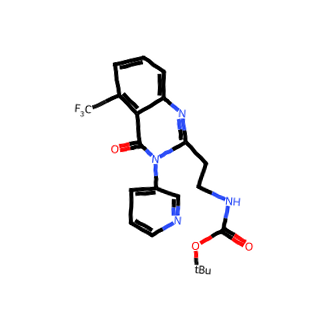 CC(C)(C)OC(=O)NCCc1nc2cccc(C(F)(F)F)c2c(=O)n1-c1cccnc1